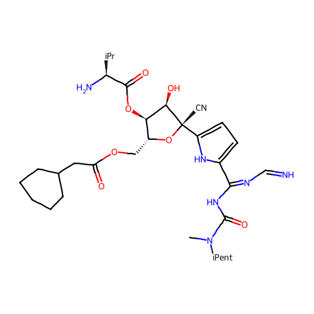 CCCC(C)N(C)C(=O)N/C(=N/C=N)c1ccc([C@]2(C#N)O[C@H](COC(=O)CC3CCCCC3)[C@@H](OC(=O)[C@@H](N)C(C)C)[C@H]2O)[nH]1